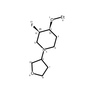 CCO[C@H]1CCN(C2CCOC2)C[C@H]1F